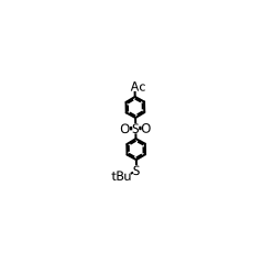 CC(=O)c1ccc(S(=O)(=O)c2ccc(SC(C)(C)C)cc2)cc1